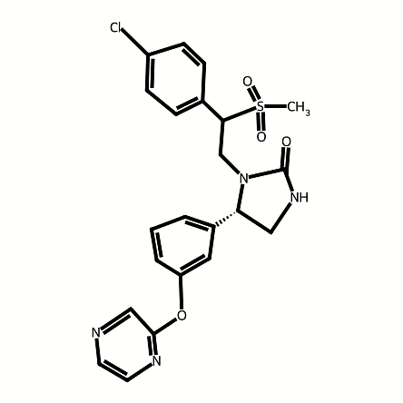 CS(=O)(=O)C(CN1C(=O)NC[C@@H]1c1cccc(Oc2cnccn2)c1)c1ccc(Cl)cc1